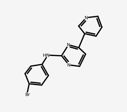 Brc1ccc(Nc2nccc(-c3cccnc3)n2)cc1